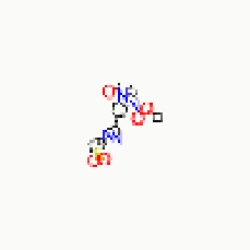 CC(=O)N1c2ccc(-c3cnn([C@H]4CCCS(=O)(=O)C4)c3)cc2N(C(=O)OC2CCC2)C[C@@H]1C